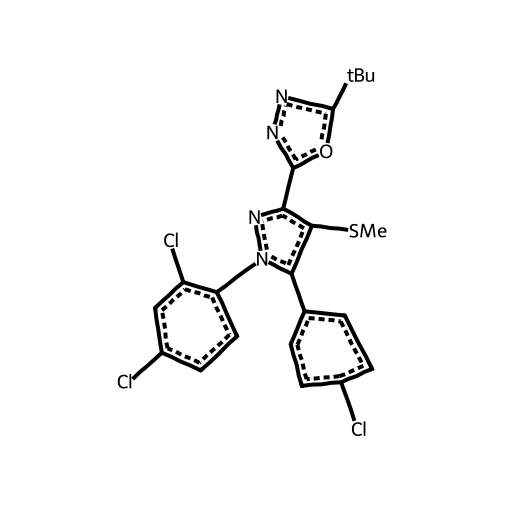 CSc1c(-c2nnc(C(C)(C)C)o2)nn(-c2ccc(Cl)cc2Cl)c1-c1ccc(Cl)cc1